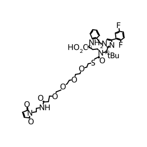 CC(C)(C)[C@H](c1nc(-c2cc(F)ccc2F)cn1Cc1ccccc1)N(CC[C@H](N)C(=O)O)C(=O)CSCCOCCOCCOCCOCCC(=O)NCCN1C(=O)C=CC1=O